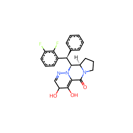 O=C1C2=C(O)C(O)C=NN2[C@@H]([C@H](c2ccccc2)c2cccc(F)c2F)[C@H]2CCCN12